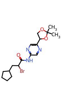 CC1(C)OCC(c2cnc(NC(=O)C(Br)CC3CCCC3)cn2)O1